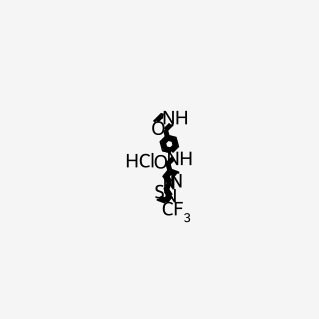 Cl.O=C(Nc1ccc(C2CNCCO2)cc1)c1cnn(-c2nc(C(F)(F)F)cs2)c1